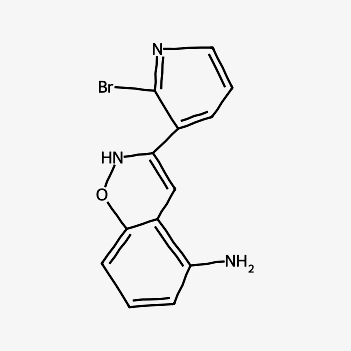 Nc1cccc2c1C=C(c1cccnc1Br)NO2